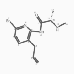 C=CCc1ccc(Br)nc1NC(=O)[C@H](C)NC